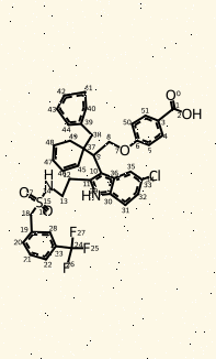 O=C(O)c1ccc(OCC(c2c(CCNS(=O)(=O)Cc3cccc(C(F)(F)F)c3)[nH]c3ccc(Cl)cc23)C2(Cc3ccccc3)C=CC=CC2)cc1